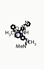 CNCCN(C)Cc1cccc(C2Nc3nn(Cc4ccccn4)cc3C(C(=O)N[C@@H](C)c3ccccc3)C23/C=C\CCCCC3)c1